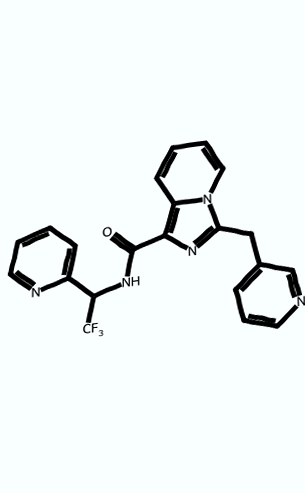 O=C(NC(c1ccccn1)C(F)(F)F)c1nc(Cc2cccnc2)n2ccccc12